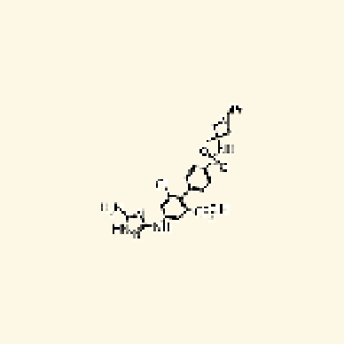 CC(C)N1CC(C)(NS(=O)(=O)c2ccc(-c3c(Cl)cc(Nc4n[nH]c(N)n4)cc3C(F)(F)F)cc2)C1.Cl